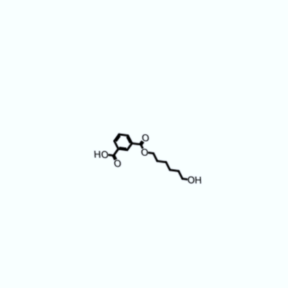 O=C(O)c1cccc(C(=O)OCCCCCCO)c1